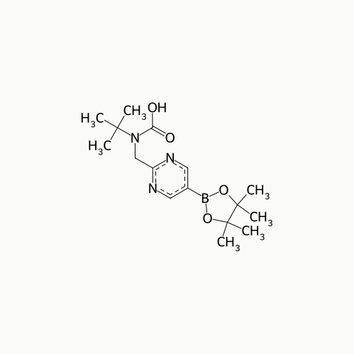 CC(C)(C)N(Cc1ncc(B2OC(C)(C)C(C)(C)O2)cn1)C(=O)O